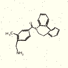 Cc1cc(C(=O)N2CCc3ccccc3-c3ccccc32)ccc1CN